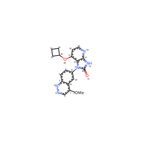 COc1cnnc2ccc(-n3c(=O)[nH]c4nccc(OC5CCC5)c43)cc12